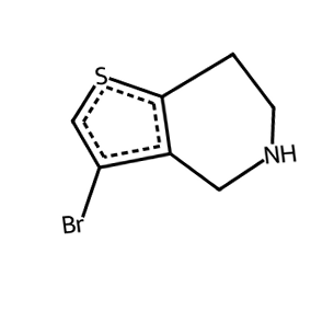 Brc1csc2c1CNCC2